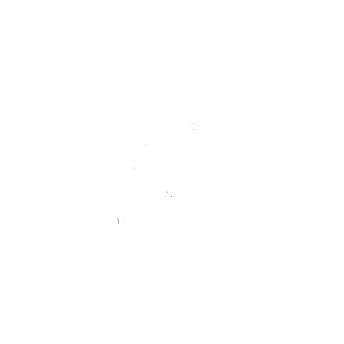 CCC(=O)C1CCCCN1C(=O)C(C)C